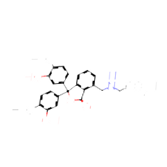 Cc1ccc(C2(c3ccc(C)c(O)c3)OC(=O)c3c(CNCC(=O)O)cccc32)cc1O